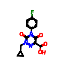 O=C(O)c1nn(CC2CC2)c(=O)n(-c2ccc(F)cc2)c1=O